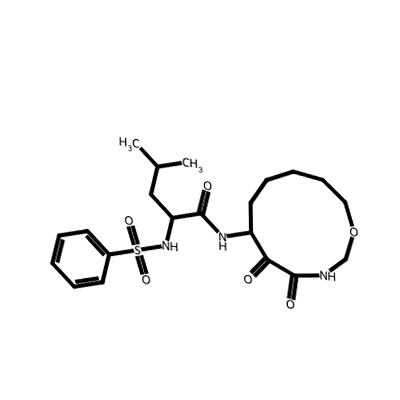 CC(C)CC(NS(=O)(=O)c1ccccc1)C(=O)NC1CCCCCOCNC(=O)C1=O